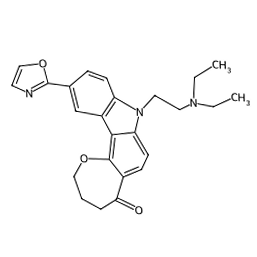 CCN(CC)CCn1c2ccc(-c3ncco3)cc2c2c3c(ccc21)C(=O)CCCO3